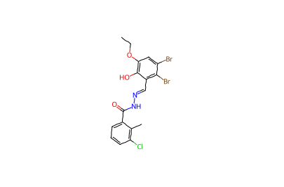 CCOc1cc(Br)c(Br)c(C=NNC(=O)c2cccc(Cl)c2C)c1O